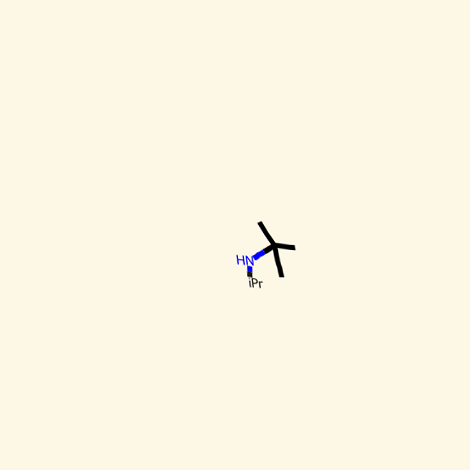 CC(C)NC(C)(C)C